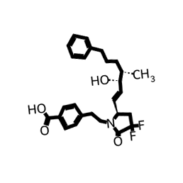 C[C@@H](CCCc1ccccc1)[C@@H](O)C=C[C@H]1CC(F)(F)C(=O)N1CCc1ccc(C(=O)O)cc1